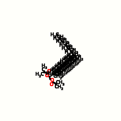 C=C.C=C.C=C.C=C.C=C.C=C.C=C.C=C.C=C.C=C.C=C.C=C.C=C.C=C.C=C.C=C.C=C.C=C.C=C.C=C.C=C.C=C.C=C.C=C(C)C(=O)OCCOC(=O)C(=C)C